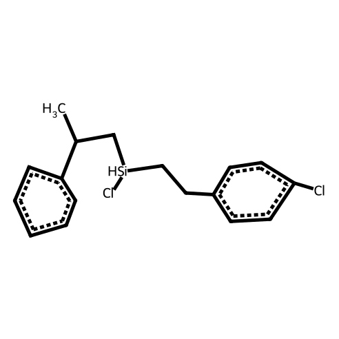 CC(C[SiH](Cl)CCc1ccc(Cl)cc1)c1ccccc1